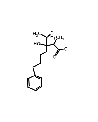 CC(C)C(O)(CCCCc1ccccc1)C(C)C(=O)O